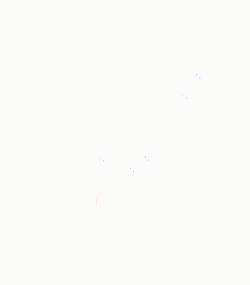 COc1cc(-c2nnc3n(C(CO)c4cc(F)c(F)c(F)c4)cc(Cl)cc2-3)ccc1-n1cnc(C)c1